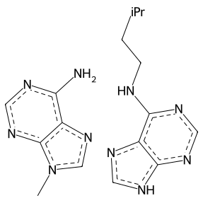 CC(C)CCNc1ncnc2[nH]cnc12.Cn1cnc2c(N)ncnc21